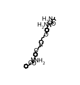 CC(C)[C@H](N)C(=O)O/N=C(\N)c1ccc(OCCCC2CCN(CCCOc3ccc(/C(N)=N/C(=O)OCc4ccccc4)cc3)CC2)cc1